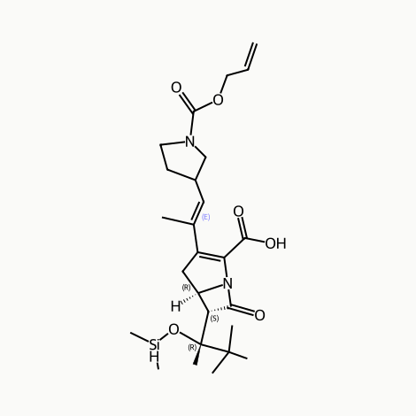 C=CCOC(=O)N1CCC(/C=C(\C)C2=C(C(=O)O)N3C(=O)[C@H]([C@@](C)(O[SiH](C)C)C(C)(C)C)[C@H]3C2)C1